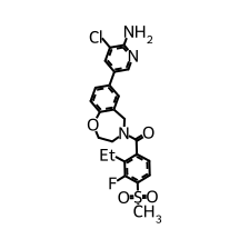 CCc1c(C(=O)N2CCOc3ccc(-c4cnc(N)c(Cl)c4)cc3C2)ccc(S(C)(=O)=O)c1F